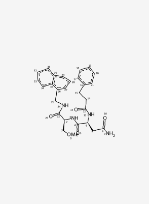 COC[C@H](NC(=O)[C@H](CC(N)=O)NC(=O)CCc1ccccc1)C(=O)NCc1cccc2ccccc12